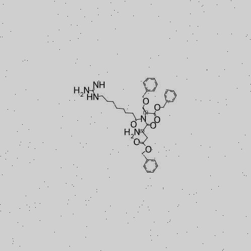 N=C(N)NCCCCCCCC(=O)N(C(=O)[C@@H](N)CC(=O)OCc1ccccc1)[C@@H](COCc1ccccc1)C(=O)OCc1ccccc1